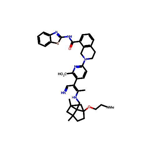 CNCCOC12CCC3(C)CC(C)(C1)C32CN/C(C)=C(\C=N)c1ccc(N2CCc3cccc(C(=O)Nc4nc5ccccc5s4)c3C2)nc1C(=O)O